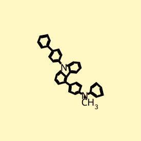 CN(c1ccccc1)c1ccc(-c2cccc3c2c2ccccc2n3-c2ccc(-c3ccccc3)cc2)cc1